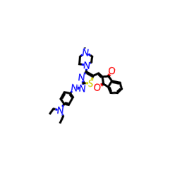 CCN(CC)c1ccc(/N=N/c2nc(N3CCN(C)CC3)c(C=C3C(=O)c4ccccc4C3=O)s2)cc1